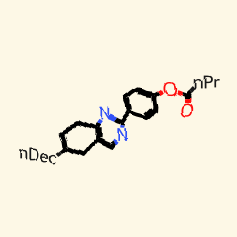 CCCCCCCCCCC1CCc2nc(-c3ccc(OC(=O)CCC)cc3)ncc2C1